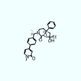 CC[C@](C)(O)C[C@]1(c2ccccc2)CCN([C@@H](C)c2ccc(-c3ccn(C)c(=O)c3)cc2)C(=O)O1